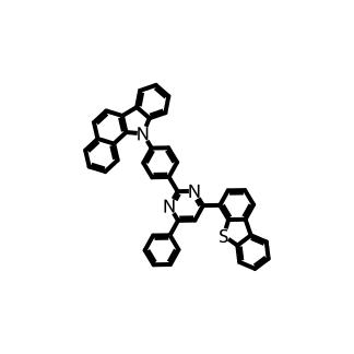 c1ccc(-c2cc(-c3cccc4c3sc3ccccc34)nc(-c3ccc(-n4c5ccccc5c5ccc6ccccc6c54)cc3)n2)cc1